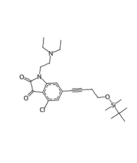 CCN(CC)CCN1C(=O)C(=O)c2c(Cl)cc(C#CCCO[Si](C)(C)C(C)(C)C)cc21